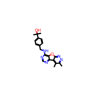 Cc1nnc2oc3c(NCc4ccc(C(C)(C)O)cc4)ncnc3c2c1C